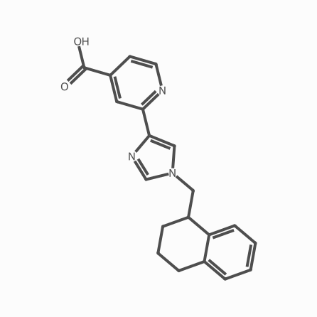 O=C(O)c1ccnc(-c2cn(CC3CCCc4ccccc43)cn2)c1